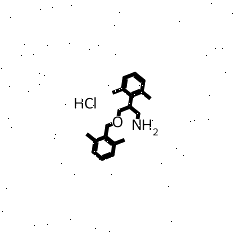 Cc1cccc(C)c1COCC(CN)c1c(C)cccc1C.Cl